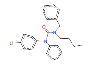 CCCCN(Cc1ccccc1)C(=O)N(c1ccccc1)c1ccc(Cl)cc1